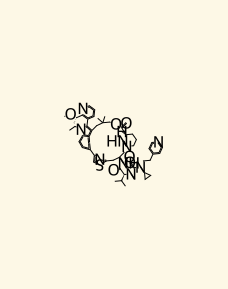 CCn1c(-c2cccnc2[C@H](C)OC)c2c3cc(ccc31)-c1csc(n1)C[C@H](NC(=O)[C@H](C(C)C)N(C)C(=O)N(CCc1ccncc1)C1CC1)C(=O)N1CCC[C@H](N1)C(=O)OCC(C)(C)C2